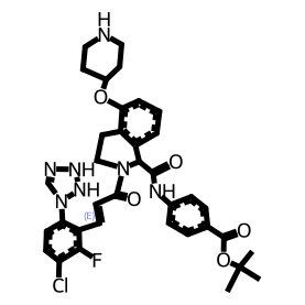 CC(C)(C)OC(=O)c1ccc(NC(=O)C2c3cccc(OC4CCNCC4)c3CCN2C(=O)/C=C/c2c(N3C=NNN3)ccc(Cl)c2F)cc1